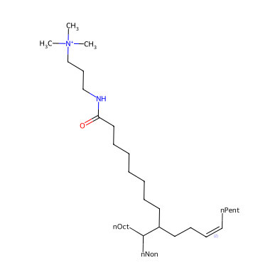 CCCCC/C=C\CCC(CCCCCCCC(=O)NCCC[N+](C)(C)C)C(CCCCCCCC)CCCCCCCCC